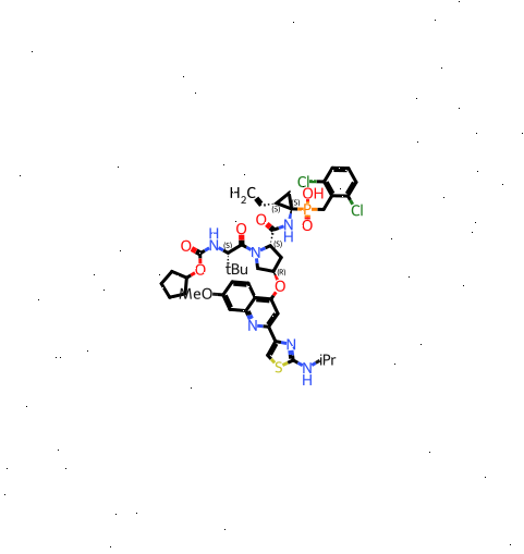 C=C[C@@H]1C[C@]1(NC(=O)[C@@H]1C[C@@H](Oc2cc(-c3csc(NC(C)C)n3)nc3cc(OC)ccc23)CN1C(=O)[C@@H](NC(=O)OC1CCCC1)C(C)(C)C)P(=O)(O)Cc1c(Cl)cccc1Cl